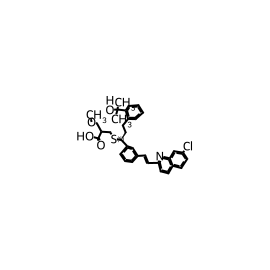 COCC(CS[C@@H](CCc1ccccc1C(C)(C)O)c1cccc(C=Cc2ccc3ccc(Cl)cc3n2)c1)C(=O)O